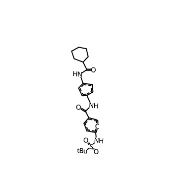 CC(C)(C)S(=O)(=O)Nc1ccc(C(=O)Nc2ccc(NC(=O)C3CCCCC3)cc2)cc1